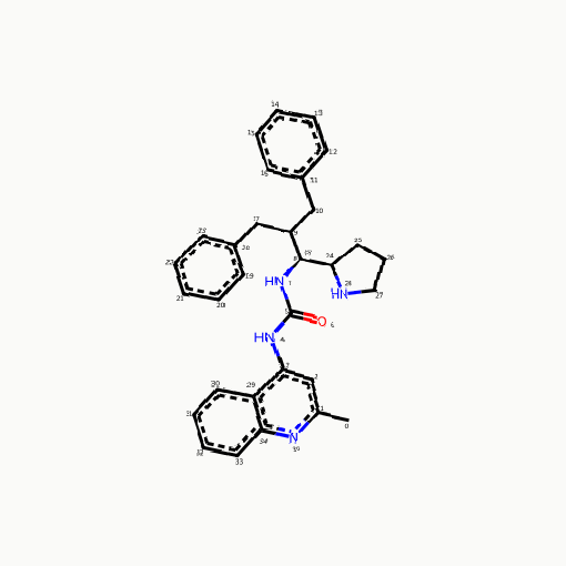 Cc1cc(NC(=O)N[C@@H](C(Cc2ccccc2)Cc2ccccc2)C2CCCN2)c2ccccc2n1